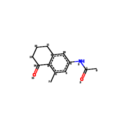 CC(=O)Nc1cc(C)c2c(c1)CCCC2=O